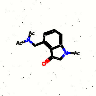 CC(=O)N(Cc1cccc2c1C(=O)CN2C(C)=O)C(C)=O